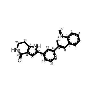 C=Nc1ccccc1/C=C(\C)c1cc(-c2cc3c([nH]2)CCNC3=O)ccn1